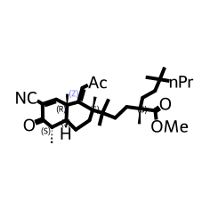 CCCC(C)(C)CC[C@@](C)(CCC(C)(C)[C@]1(C)CC[C@H]2[C@H](C)C(=O)C(C#N)=C[C@]2(C)/C1=C/C(C)=O)C(=O)OC